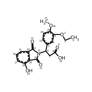 CCOc1cc(C(CC(=O)O)N2C(=O)c3cccc(O)c3C2=O)ccc1OC